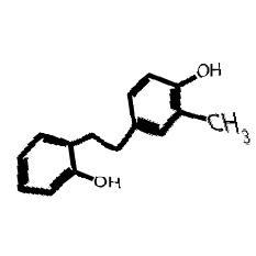 Cc1cc(CCc2ccccc2O)ccc1O